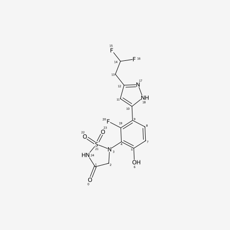 O=C1CN(c2c(O)ccc(-c3cc(CC(F)F)n[nH]3)c2F)S(=O)(=O)N1